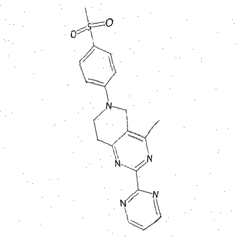 Cc1nc(-c2ncccn2)nc2c1CN(c1ccc(S(C)(=O)=O)cc1)CC2